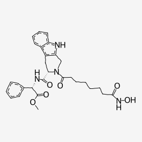 COC(=O)[C@@H](NC(=O)[C@@H]1Cc2c([nH]c3ccccc23)CN1C(=O)CCCCCCC(=O)NO)c1ccccc1